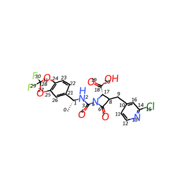 C[C@@H](NC(=O)N1C(=O)C(Cc2ccnc(Cl)c2)[C@H]1C(=O)O)c1ccc2c(c1)OC(F)(F)O2